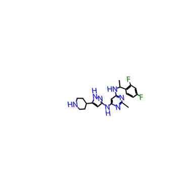 Cc1nc(Nc2cc(C3CCNCC3)[nH]n2)cc(NC(C)c2ccc(F)cc2F)n1